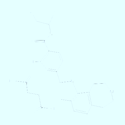 CCC(C)NC(=O)c1ccc(CNc2c(Cl)ccc3c2CCNCC3)cc1F.O=C(O)CCC(=O)O